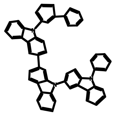 c1ccc(-c2cccc(-n3c4ccccc4c4cc(-c5ccc6c7ccccc7n(-c7ccc8c(c7)c7ccccc7n8-c7ccccc7)c6c5)ccc43)c2)cc1